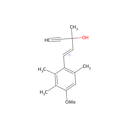 C#CC(C)(O)/C=C/c1c(C)cc(OC)c(C)c1C